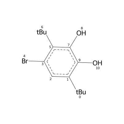 CC(C)(C)c1cc(Br)c(C(C)(C)C)c(O)c1O